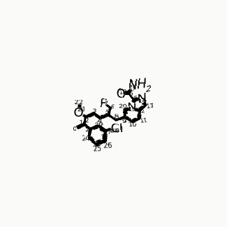 C=C(/C(=C\C=C(/CF)Cc1ccc2cnc(C(N)=O)n2c1)OC)c1cccc(Cl)c1